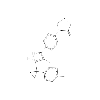 Cc1c(-c2ccc(N3CCCC3=O)cc2)n[nH]c1C1(c2ccc(F)cc2)CC1